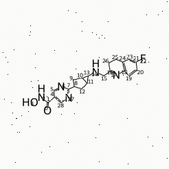 O=C(NO)c1cnc(C2CC3C(C2)C3NCC2=Nc3ccc(F)cc3CC2)nc1